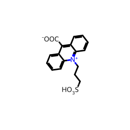 O=C([O-])c1c2ccccc2[n+](CCCS(=O)(=O)O)c2ccccc12